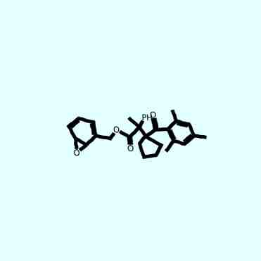 Cc1cc(C)c(C(=O)C2(C(C)(P)C(=O)OCC3=CC=CC4OC34)CCCC2)c(C)c1